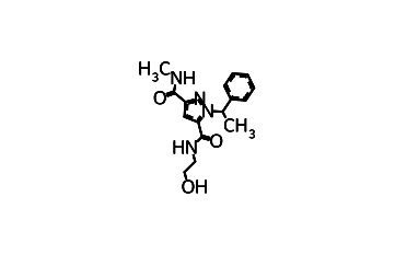 CNC(=O)c1cc(C(=O)NCCO)n(C(C)c2ccccc2)n1